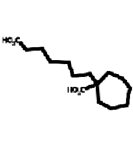 O=C(O)CCCCCCC1(C(=O)O)CCCCCC1